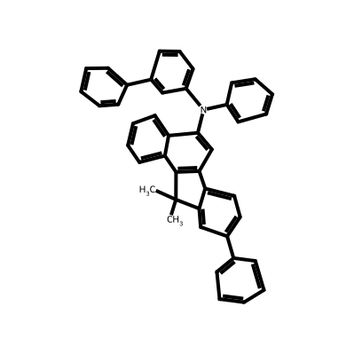 CC1(C)c2cc(-c3ccccc3)ccc2-c2cc(N(c3ccccc3)c3cccc(-c4ccccc4)c3)c3ccccc3c21